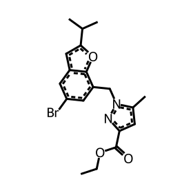 CCOC(=O)c1cc(C)n(Cc2cc(Br)cc3cc(C(C)C)oc23)n1